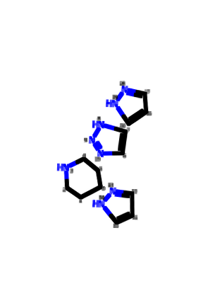 C1CCNCC1.c1c[nH]nn1.c1cn[nH]c1.c1cn[nH]c1